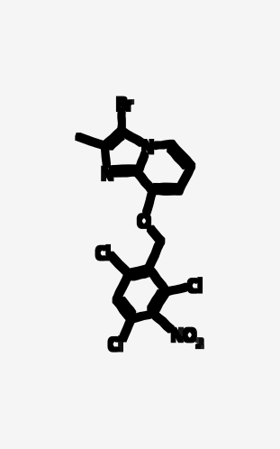 Cc1nc2c(OCc3c(Cl)cc(Cl)c([N+](=O)[O-])c3Cl)cccn2c1Br